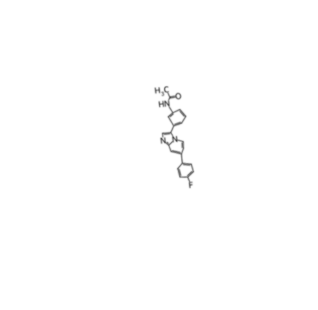 CC(=O)Nc1cccc(-c2cnc3cc(-c4ccc(F)cc4)ccn23)c1